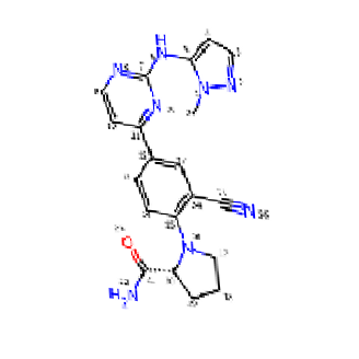 Cn1nccc1Nc1nccc(-c2ccc(N3CCC[C@@H]3C(N)=O)c(C#N)c2)n1